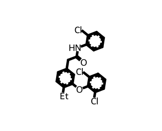 CCc1ccc(CC(=O)Nc2ccccc2Cl)cc1Oc1c(Cl)cccc1Cl